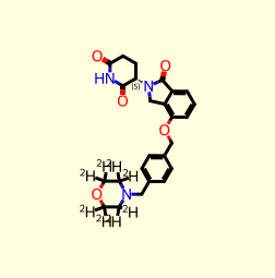 [2H]C1([2H])OC([2H])([2H])C([2H])([2H])N(Cc2ccc(COc3cccc4c3CN([C@H]3CCC(=O)NC3=O)C4=O)cc2)C1([2H])[2H]